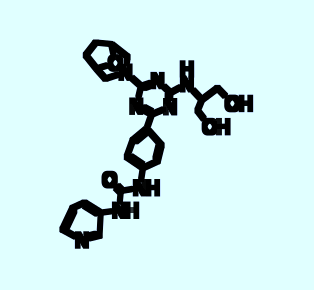 O=C(Nc1ccc(-c2nc(NC(CO)CO)nc(N3CC4CCC(C3)O4)n2)cc1)Nc1cccnc1